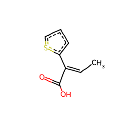 C/C=C(/C(=O)O)c1cccs1